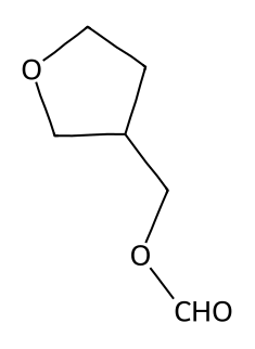 O=COCC1CCOC1